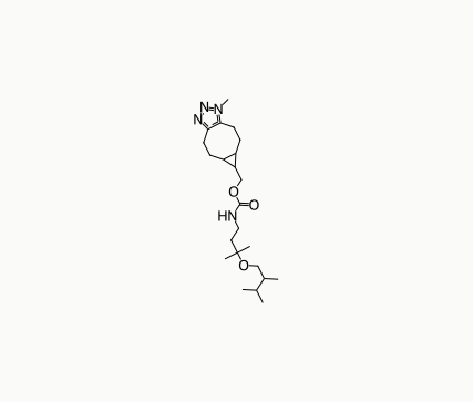 CC(C)C(C)COC(C)(C)CCNC(=O)OCC1C2CCc3nnn(C)c3CCC21